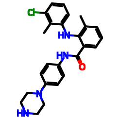 Cc1cccc(C(=O)Nc2ccc(N3CCNCC3)cc2)c1Nc1cccc(Cl)c1C